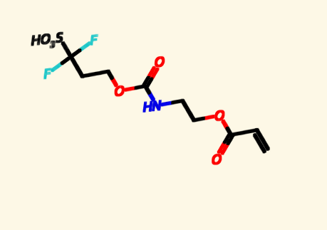 C=CC(=O)OCCNC(=O)OCCC(F)(F)S(=O)(=O)O